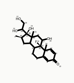 C[C@@H]1CC2C3CCC4=CC(=O)C=CC4(C)[C@@]3(F)C(O)CC2(C)[C@@]1(O)C(O)CO